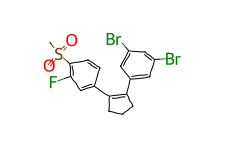 CS(=O)(=O)c1ccc(C2=C(c3cc(Br)cc(Br)c3)CCC2)cc1F